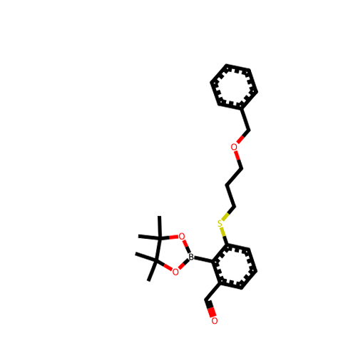 CC1(C)OB(c2c(C=O)cccc2SCCCOCc2ccccc2)OC1(C)C